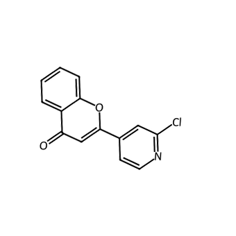 O=c1cc(-c2ccnc(Cl)c2)oc2ccccc12